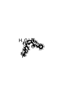 C[C@@H]1Cc2nn3c(c2CN1C(=O)c1ccn2cc(C(F)(F)F)nc2c1)C(=O)N(Cc1ccccn1)CC3